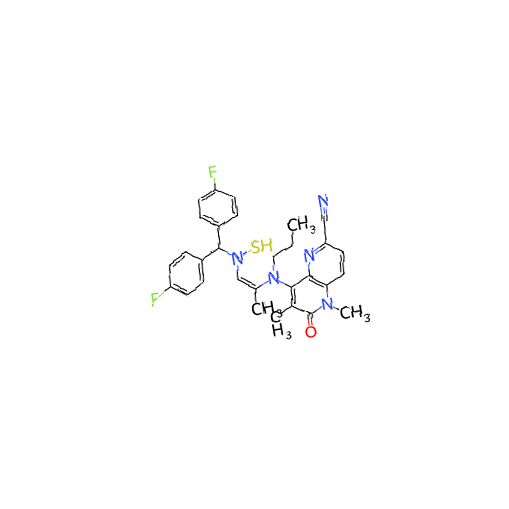 CCCN(/C(C)=C\N(S)C(c1ccc(F)cc1)c1ccc(F)cc1)c1c(C)c(=O)n(C)c2ccc(C#N)nc12